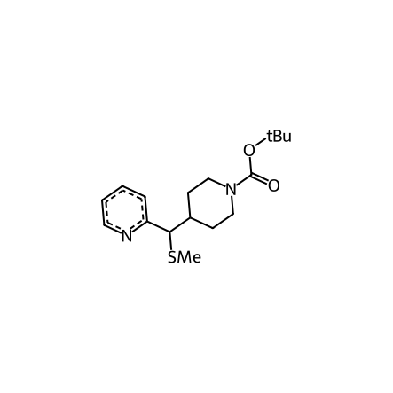 CSC(c1ccccn1)C1CCN(C(=O)OC(C)(C)C)CC1